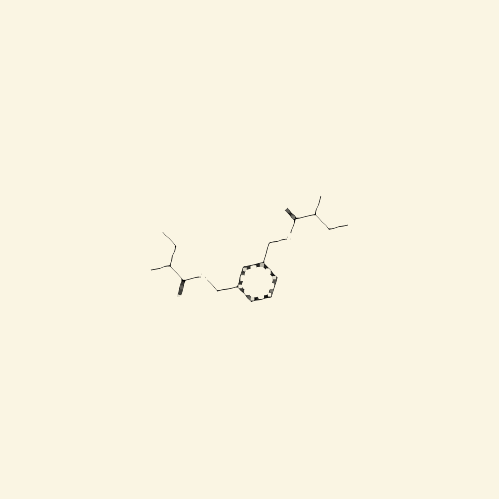 CCC(C)C(=O)NCc1cccc(CNC(=O)C(C)CC)c1